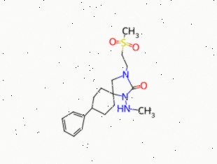 CNN1C(=O)N(CCS(C)(=O)=O)CC12CCC(c1ccccc1)CC2